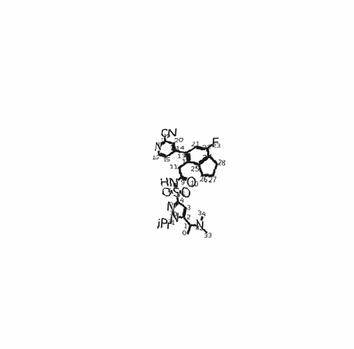 CC(c1cc(S(=O)(=O)NC(=O)Cc2c(-c3ccnc(C#N)c3)cc(F)c3c2CCC3)nn1C(C)C)N(C)C